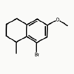 COc1cc(Br)c2c(c1)CCCC2C